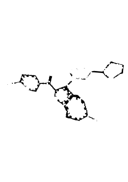 CCOC(=O)N(CCC1CCCO1)c1c(C(=O)c2ccc(F)nc2)oc2ccc(Br)cc12